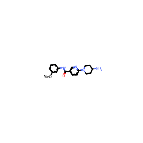 COc1cccc(NC(=O)c2ccc(N3CCC(N)CC3)nc2)c1